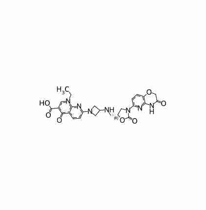 CCn1cc(C(=O)O)c(=O)c2ccc(N3CC(NC[C@@H]4CN(c5ccc6c(n5)NC(=O)CO6)C(=O)O4)C3)nc21